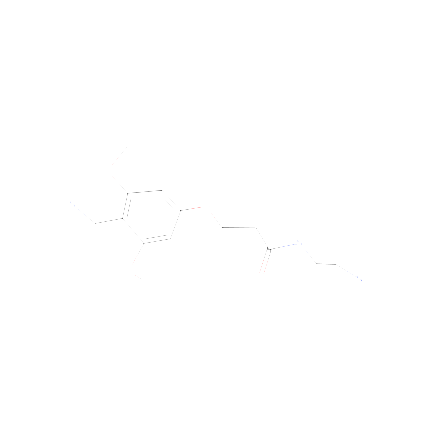 COc1cc(OCCC(=O)NCCN)cc(OC)c1CN